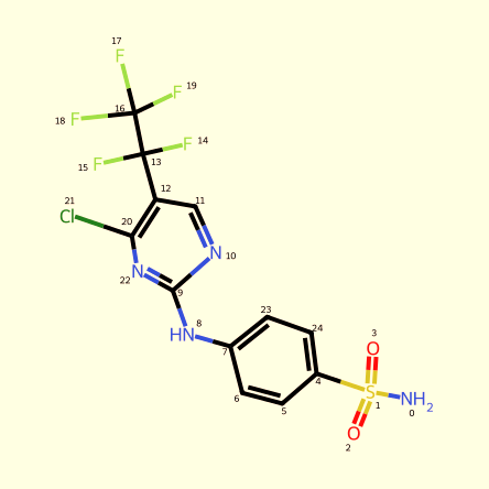 NS(=O)(=O)c1ccc(Nc2ncc(C(F)(F)C(F)(F)F)c(Cl)n2)cc1